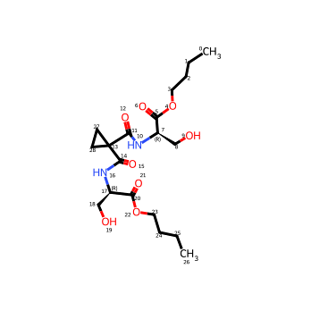 CCCCOC(=O)[C@@H](CO)NC(=O)C1(C(=O)N[C@H](CO)C(=O)OCCCC)CC1